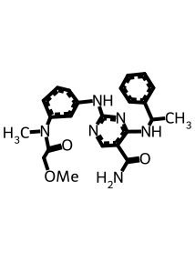 COCC(=O)N(C)c1cccc(Nc2ncc(C(N)=O)c(NC(C)c3ccccc3)n2)c1